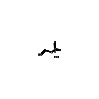 N=CO[SH](=O)=O.[CsH]